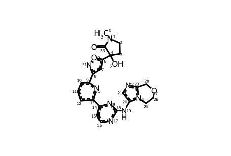 CN1CCC(O)(c2cc(-c3cccc(-c4ccnc(Nc5cnc6n5CCOC6)n4)n3)no2)C1=O